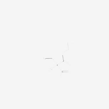 CCOC(=O)C(N)(CN)C(=O)O